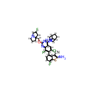 N#Cc1c(N)sc2c(F)ccc(-c3c(Cl)cc4c(N5CC6CCC(C5)C6N)nc(OC[C@@]56CCCN5C[C@H](F)C6)nc4c3F)c12